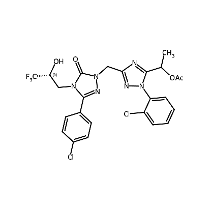 CC(=O)OC(C)c1nc(Cn2nc(-c3ccc(Cl)cc3)n(C[C@@H](O)C(F)(F)F)c2=O)nn1-c1ccccc1Cl